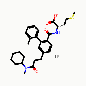 CSCC[C@H](NC(=O)c1ccc(CCC(=O)N(C)C2CCCCC2)cc1-c1ccccc1C)C(=O)[O-].[Li+]